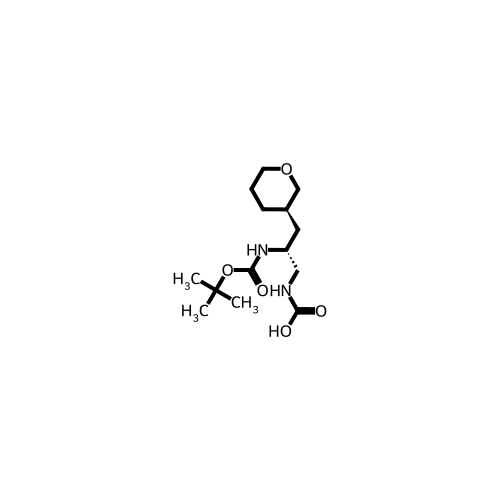 CC(C)(C)OC(=O)N[C@@H](CNC(=O)O)C[C@H]1CCCOC1